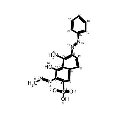 CN=Nc1c(S(=O)(=O)O)cc2ccc(N=Nc3ccccc3)c(N)c2c1O